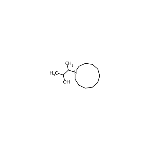 CC(O)C(C)N1CCCCCCCCCC1